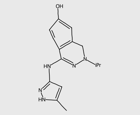 Cc1cc(NC2=NN(C(C)C)Cc3cc(O)ccc32)n[nH]1